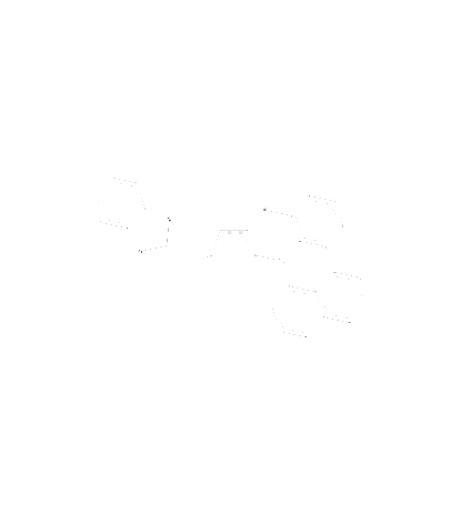 CC1(C)c2cc(C=C3C(=O)c4ccccc4C3=O)sc2N2c3c(cccc31)-c1cccc3cccc2c13